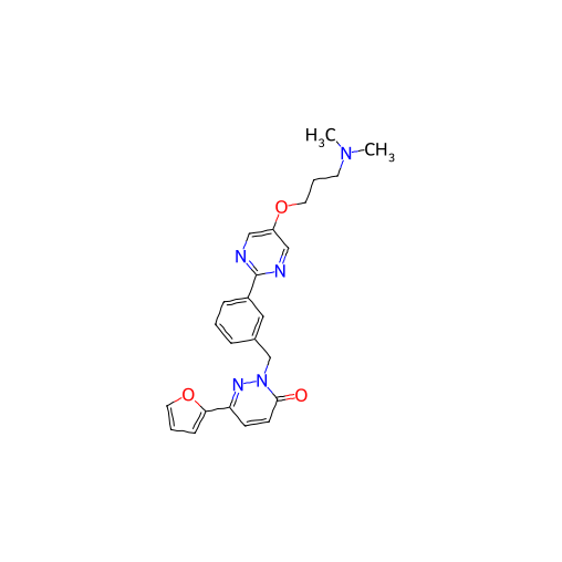 CN(C)CCCOc1cnc(-c2cccc(Cn3nc(-c4ccco4)ccc3=O)c2)nc1